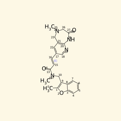 Cc1oc2ccccc2c1CN(C)C(=O)/C=C/c1cnc2c(c1)CN(C)CC(=O)N2